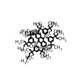 CCCCC(CC)(CC)c1cc(N(c2cc(C(CC)(CC)CC)cc(C(CC)(CC)CC)c2)c2c3ccccc3c(N(c3cc(C(CC)(CC)CC)cc(C(CC)(CC)CC)c3)c3cc(C(CC)(CC)CC)cc(C(CC)(CC)CC)c3)c3ccc(C(C)(C)C)cc23)cc(C(CC)(CC)CC)c1